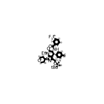 CCN1C(=O)[C@H](NC(=O)c2cccc(C(F)(F)F)c2)[C@H](c2ccc(F)cc2)c2c(CO[Si](C)(C)C(C)(C)C)nn(C3CCOCC3)c21